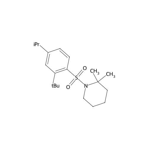 CC(C)c1ccc(S(=O)(=O)N2CCCCC2(C)C)c(C(C)(C)C)c1